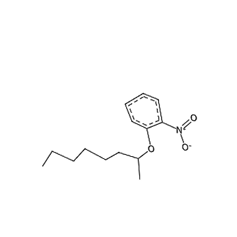 CCCCCCC(C)Oc1ccccc1[N+](=O)[O-]